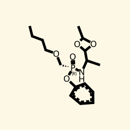 CCCCOC[P@](=O)(NC(C)C1OC(C)O1)Oc1ccccc1